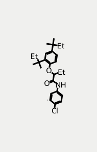 CCC(Oc1ccc(C(C)(C)CC)cc1C(C)(C)CC)C(=O)Nc1c[c]c(Cl)cc1